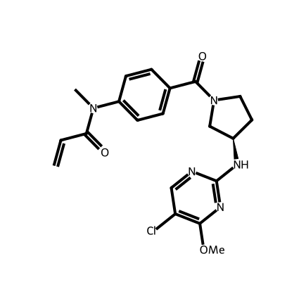 C=CC(=O)N(C)c1ccc(C(=O)N2CC[C@@H](Nc3ncc(Cl)c(OC)n3)C2)cc1